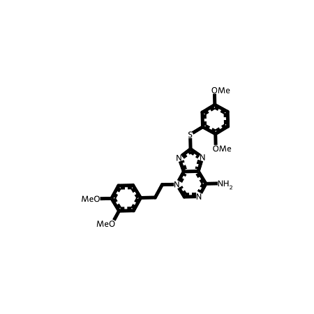 COc1ccc(OC)c(Sc2nc3c(N)ncn(CCc4ccc(OC)c(OC)c4)c-3n2)c1